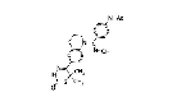 CC(=O)Nc1ccc(C(=NO)N2CCCc3cc(C4=NNC(=O)SC4(C)C)ccc32)cc1